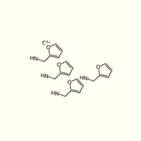 [C+4].[NH-]Cc1ccco1.[NH-]Cc1ccco1.[NH-]Cc1ccco1.[NH-]Cc1ccco1